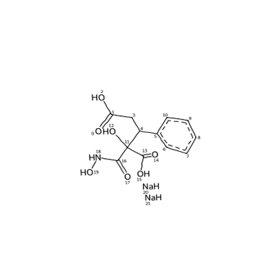 O=C(O)CC(c1ccccc1)C(O)(C(=O)O)C(=O)NO.[NaH].[NaH]